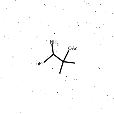 CCCC(N)C(C)(C)OC(C)=O